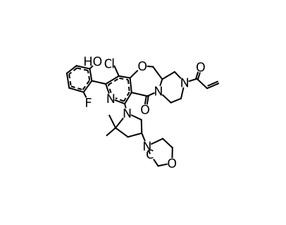 C=CC(=O)N1CCN2C(=O)c3c(N4CC(N5CCOCC5)CC4(C)C)nc(-c4c(O)cccc4F)c(Cl)c3OCC2C1